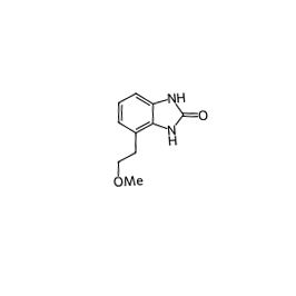 COCCc1cccc2[nH]c(=O)[nH]c12